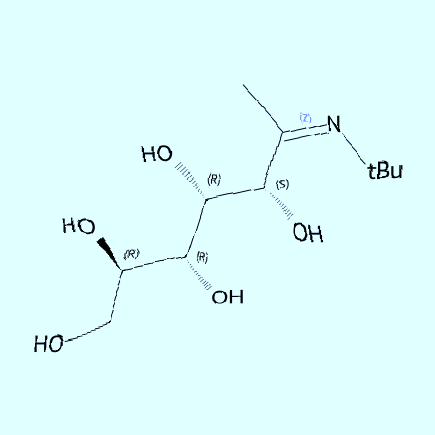 C/C(=N/C(C)(C)C)[C@H](O)[C@@H](O)[C@H](O)[C@H](O)CO